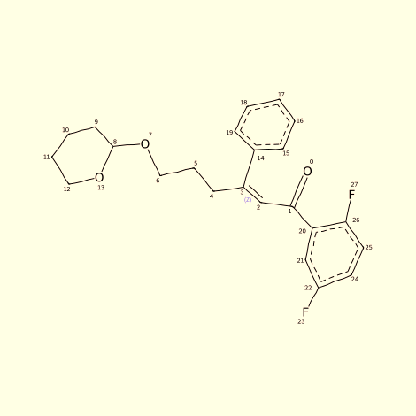 O=C(/C=C(/CCCOC1CCCCO1)c1ccccc1)c1cc(F)ccc1F